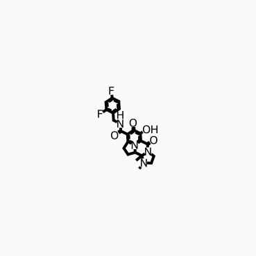 CN1CCN2C(=O)c3c(O)c(=O)c(C(=O)NCc4ccc(F)cc4F)c4n3C(CC4)C12C